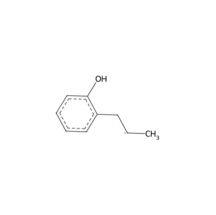 C[CH]Cc1ccccc1O